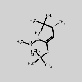 C[C@H](/C=C(\O[SiH](C)C)O[Si](C)(C)C)C(C)(C)C